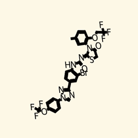 Cc1ccc(OCC(F)(F)F)c(N2C(=O)CSC2=NC(=O)Nc2ccc(-c3ncn(-c4ccc(OC(F)(F)F)cc4)n3)cc2Br)c1